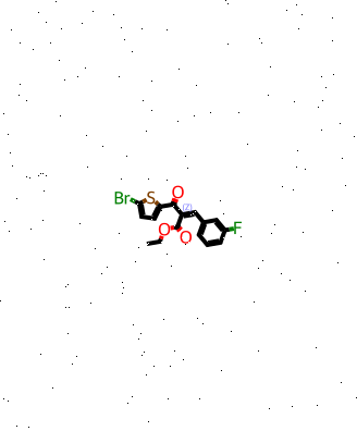 CCOC(=O)/C(=C\c1cccc(F)c1)C(=O)c1ccc(Br)s1